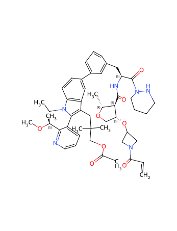 C=CC(=O)N1CC(O[C@@H]2CO[C@H](C)[C@H]2C(=O)N[C@@H](Cc2cccc(-c3ccc4c(c3)c(CC(C)(C)COC(C)=O)c(-c3cccnc3[C@H](C)OC)n4CC)c2)C(=O)N2CCCCN2)C1